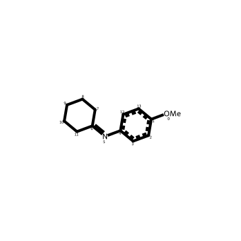 COc1ccc(N=C2CCCCC2)cc1